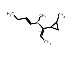 C/C=C(\C1CC1C)N(C)/C=C/CC